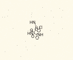 CNCCCn1cc(C2=C(c3c[nH]c4ccccc34)C(=O)NC2=O)c2cccc(Cl)c21